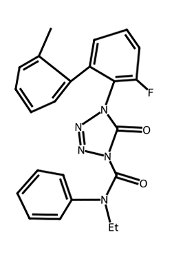 CCN(C(=O)n1nnn(-c2c(F)cccc2-c2ccccc2C)c1=O)c1ccccc1